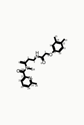 C=C(CCNC(=O)COc1ccc(C)c(C)c1)N(I)C(=O)c1cccc(C)n1